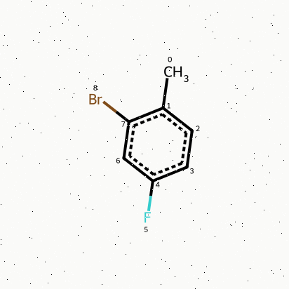 Cc1ccc(F)cc1Br